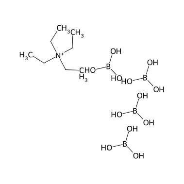 CC[N+](CC)(CC)CC.OB(O)O.OB(O)O.OB(O)O.OB(O)O